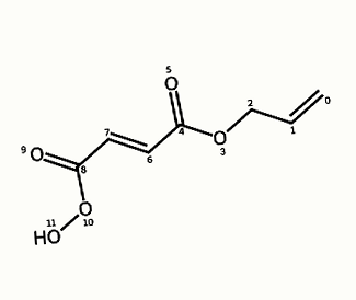 C=CCOC(=O)/C=C/C(=O)OO